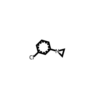 Clc1cccc(N2CC2)c1